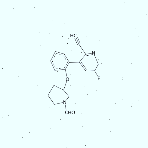 C#CC1=NC[C](F)C=C1c1ccccc1OC1CCCN(C=O)C1